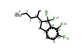 CCC(C)CCC(C)C1Cc2ccc(F)c(F)c2C1(F)F